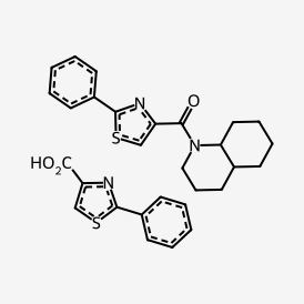 O=C(O)c1csc(-c2ccccc2)n1.O=C(c1csc(-c2ccccc2)n1)N1CCCC2CCCCC21